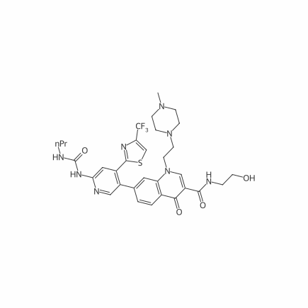 CCCNC(=O)Nc1cc(-c2nc(C(F)(F)F)cs2)c(-c2ccc3c(=O)c(C(=O)NCCO)cn(CCN4CCN(C)CC4)c3c2)cn1